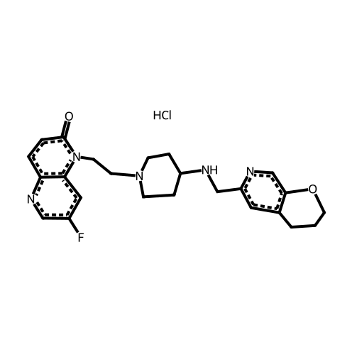 Cl.O=c1ccc2ncc(F)cc2n1CCN1CCC(NCc2cc3c(cn2)OCCC3)CC1